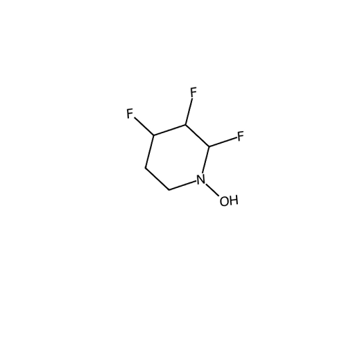 ON1CCC(F)C(F)C1F